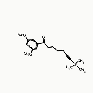 COc1cc(OC)cc(C(=O)CCCCC#C[Si](C)(C)C)c1